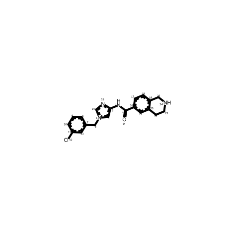 O=C(Nc1cn(Cc2cccc(Cl)c2)cn1)c1ccc2c(c1)CCNC2